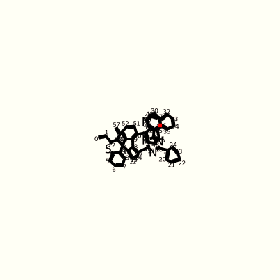 C=CC1Sc2ccccc2C2(c3cccc(-c4nc(-c5ccccc5)nc(-c5cccc6ccccc56)n4)c3-c3c(-c4cccc5cccnc45)cccc32)C1C=C